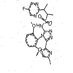 COc1cccc(OC)c1-n1c(NS(=O)(=O)C(C)C(C)c2ncc(F)cn2)nnc1-c1nc(C)cs1